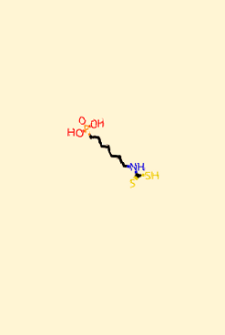 O=P(O)(O)CCCCCCCNC(=S)S